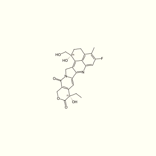 CC[C@@]1(O)C(=O)OCc2c1cc1n(c2=O)Cc2c-1nc1cc(F)c(C)c3c1c2[C@@](O)(CO)CC3